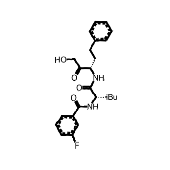 CCC(C)[C@H](NC(=O)c1cccc(F)c1)C(=O)N[C@@H](CCc1ccccc1)C(=O)CO